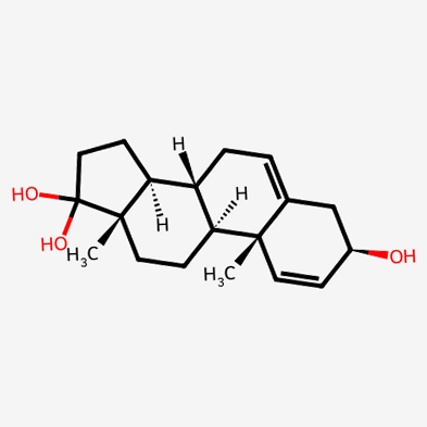 C[C@]12C=C[C@H](O)CC1=CC[C@@H]1[C@@H]2CC[C@@]2(C)[C@H]1CCC2(O)O